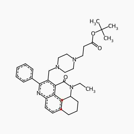 CCN(C(=O)c1c(CN2CCN(CCC(=O)OC(C)(C)C)CC2)c(-c2ccccc2)nc2ccccc12)C1CCCCC1